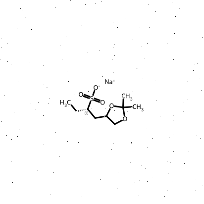 CC[C@@H](CC1COC(C)(C)O1)S(=O)(=O)[O-].[Na+]